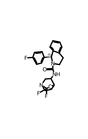 O=C(NC1CN2CCC1CC2(F)F)N1CCc2ccccc2[C@@H]1c1ccc(F)cc1